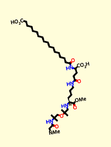 CNCC(=O)NC(C)(C)COC(C)(C)CN[C@@H](CCCCNC(=O)CCC(NC(=O)CCCCCCCCCCCCCCCCC(=O)O)C(=O)O)C(=O)OC